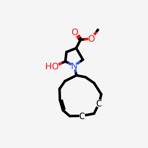 COC(=O)C1CC(O)N(C2CC/C=C\CCCCCCC2)C1